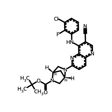 CC(C)(C)OC(=O)N1C[C@@H]2C[C@H]1CN2c1ccc2ncc(C#N)c(Nc3cccc(Cl)c3F)c2n1